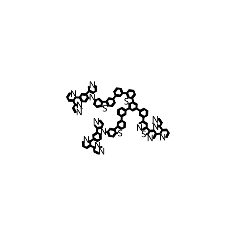 c1cc(-c2cnc3sc4ncc(-c5ncccc5-c5ccncn5)cc4c3c2)cc(-c2cc(-c3cccc(-c4ccc5sc6ccc(-n7c8ccncc8c8cc(-c9ncccc9-c9ccncn9)ccc87)cc6c5c4)c3)c3sc4c(-c5cccc(-c6ccc7sc8ccc(-n9c%10ccncc%10c%10cc(-c%11ncccc%11-c%11ccncn%11)ccc%109)cc8c7c6)c5)cccc4c3c2)c1